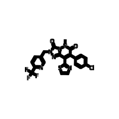 Cn1c(=O)c(-c2ccc(Cl)cc2)c(-c2nccs2)c2nn(Cc3ccc(C(F)(F)F)nc3)c(=O)n21